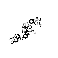 CC1CC(NC(=O)N[C@H]2[C@@H]3c4cc(Oc5ccnc6c5CCC(=O)N6)ccc4OC23C)=CC=C1C(C)(C)C